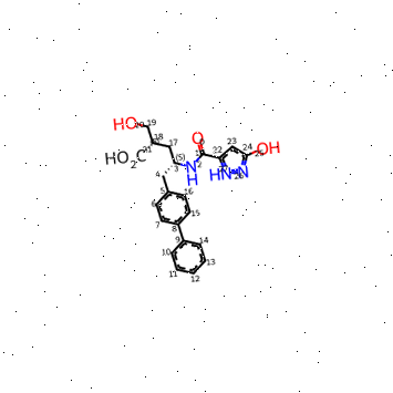 O=C(N[C@H](Cc1ccc(-c2ccccc2)cc1)C[C@@H](CO)C(=O)O)c1cc(O)n[nH]1